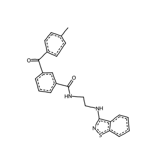 Cc1ccc(C(=O)c2cccc(C(=O)NCCNc3nsc4ccccc34)c2)cc1